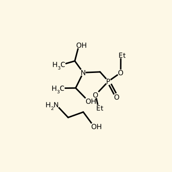 CCOP(=O)(CN(C(C)O)C(C)O)OCC.NCCO